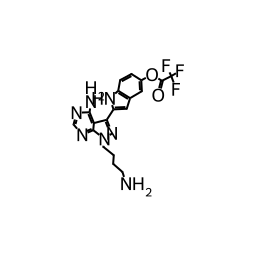 NCCCCn1nc(-c2cc3cc(OC(=O)C(F)(F)F)ccc3[nH]2)c2c(N)ncnc21